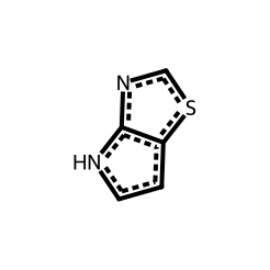 c1cc2scnc2[nH]1